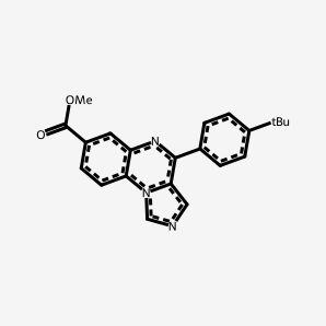 COC(=O)c1ccc2c(c1)nc(-c1ccc(C(C)(C)C)cc1)c1cncn12